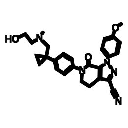 COc1ccc(-n2nc(C#N)c3c2C(=O)N(c2ccc(C4(CN(C)CCO)CC4)cc2)CC3)cc1